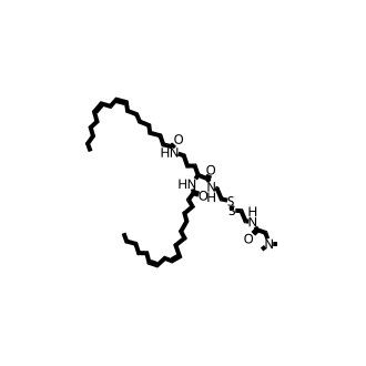 CCCCC/C=C\C/C=C\CCCCCCCC(=O)NCCCC(NC(=O)CCCCCCC/C=C\C/C=C\CCCCC)C(=O)NCCSSCCNC(=O)CN(C)C